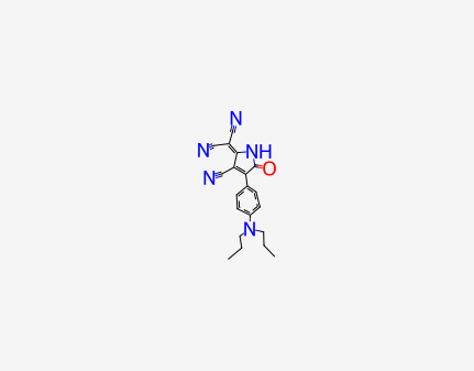 CCCN(CCC)c1ccc(C2=C(C#N)C(=C(C#N)C#N)NC2=O)cc1